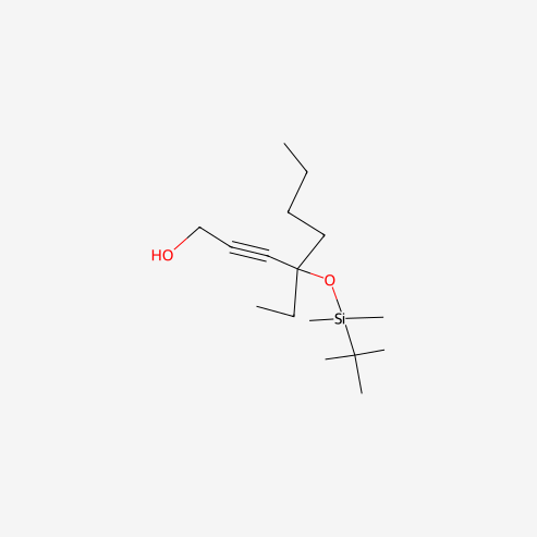 CCCCC(C#CCO)(CC)O[Si](C)(C)C(C)(C)C